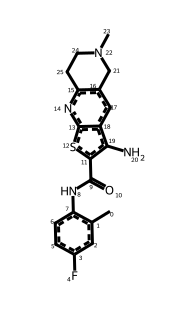 Cc1cc(F)ccc1NC(=O)c1sc2nc3c(cc2c1N)CN(C)CC3